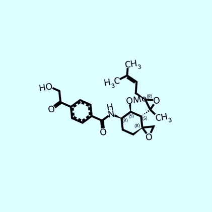 CO[C@H]1[C@H](C2(C)O[C@@H]2CC=C(C)C)[C@]2(CC[C@H]1NC(=O)c1ccc(C(=O)CO)cc1)CO2